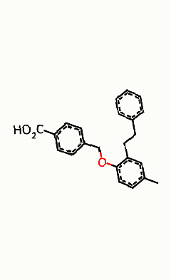 Cc1ccc(OCc2ccc(C(=O)O)cc2)c(CCc2ccccc2)c1